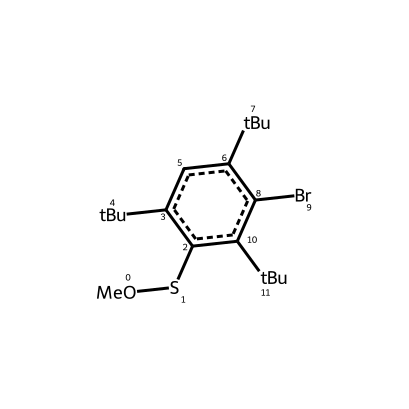 COSc1c(C(C)(C)C)cc(C(C)(C)C)c(Br)c1C(C)(C)C